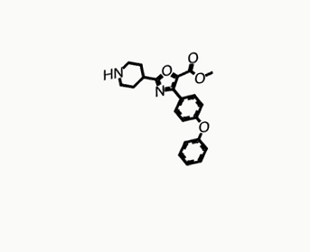 COC(=O)c1oc(C2CCNCC2)nc1-c1ccc(Oc2ccccc2)cc1